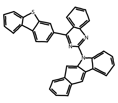 c1ccc2cc3c(cc2c1)c1ccccc1n3-c1nc(-c2ccc3c(c2)sc2ccccc23)c2ccccc2n1